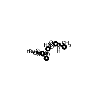 Cc1ccccc1-c1cc2ccc(S(=O)(=O)N[C@H]3CC[C@H](C(=O)N4CCN(OC(=O)OC(C)(C)C)C[C@@H]4c4ccccc4)CC3)cc2[nH]1